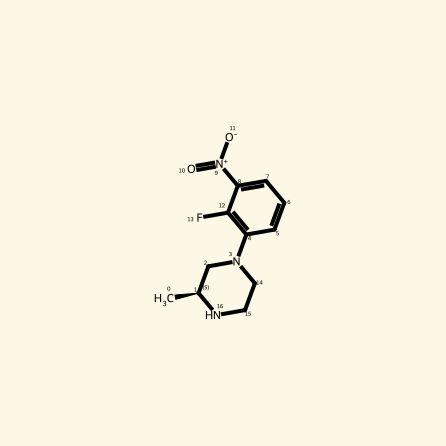 C[C@H]1CN(c2cccc([N+](=O)[O-])c2F)CCN1